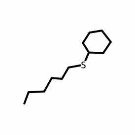 CCCCCCSC1CCCCC1